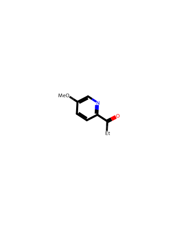 CCC(=O)c1ccc(OC)cn1